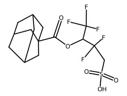 O=C(OC(C(F)(F)F)C(F)(F)CS(=O)(=O)O)C12CC3CC(CC(C3)C1)C2